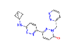 O=c1ccc(-c2ccc(NC34CC(C3)C4)nn2)nn1Cc1cccnn1